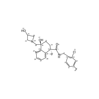 O=C(NCc1ccc(F)cc1Cl)[C@]1(F)CC[C@@](O)(CN2CC(O)C2)c2ncccc21